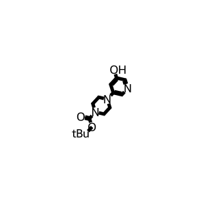 CC(C)(C)OC(=O)N1CCN(c2cncc(O)c2)CC1